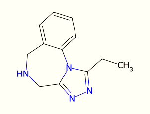 CCc1nnc2n1-c1ccccc1CNC2